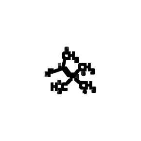 CC(F)=P(C)(C)C